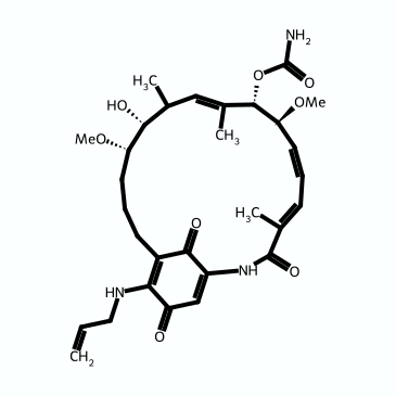 C=CCNC1=C2CCC[C@H](OC)[C@H](O)C(C)/C=C(\C)[C@H](OC(N)=O)[C@@H](OC)/C=C\C=C(/C)C(=O)NC(=CC1=O)C2=O